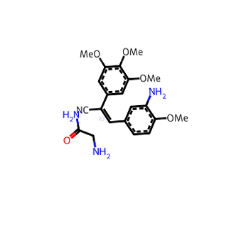 COc1ccc(/C=C(/C#N)c2cc(OC)c(OC)c(OC)c2)cc1N.NCC(N)=O